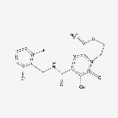 C=C1OCCn2c1nc(C(=O)NCc1c(F)cccc1Cl)c(O)c2=O